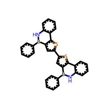 c1ccc(B2Nc3ccccc3-c3sc(-c4cc5c(s4)-c4ccccc4NB5c4ccccc4)cc32)cc1